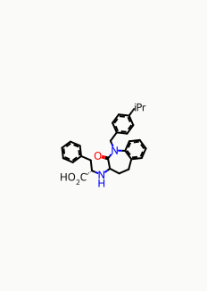 CC(C)c1ccc(CN2C(=O)C(N[C@@H](Cc3ccccc3)C(=O)O)CCc3ccccc32)cc1